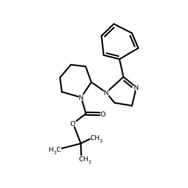 CC(C)(C)OC(=O)N1CCCCC1N1CCN=C1c1ccccc1